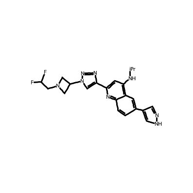 CC(C)Nc1cc(-c2cn(C3CN(CC(F)F)C3)nn2)nc2ccc(-c3cn[nH]c3)cc12